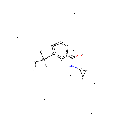 CCC(C)(C)c1cccc(C(=O)NC2CC2)c1